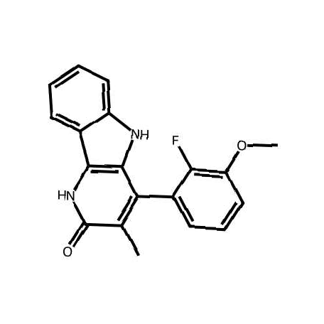 COc1cccc(-c2c(C)c(=O)[nH]c3c2[nH]c2ccccc23)c1F